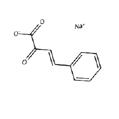 O=C([O-])C(=O)C=Cc1ccccc1.[Na+]